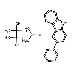 CC(C)(O)C(C)(C)O.OB(O)O.c1ccc(-c2ccc3[nH]c4ccccc4c3c2)cc1